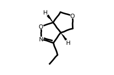 CCC1=NO[C@@H]2COC[C@H]12